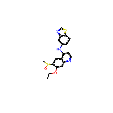 CCOc1cc2nccc(Nc3ccc4scnc4c3)c2cc1[S+](C)[O-]